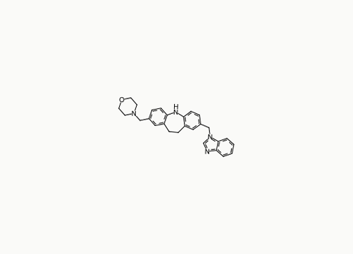 c1ccc2c(c1)ncn2Cc1ccc2c(c1)CCc1cc(CN3CCOCC3)ccc1N2